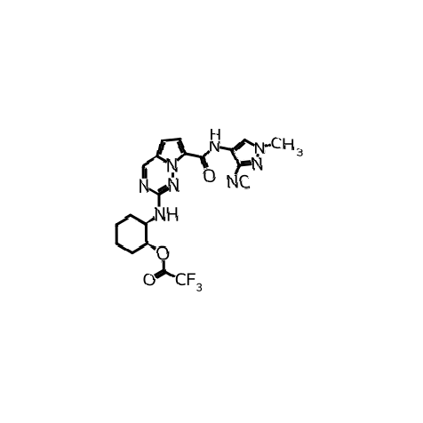 Cn1cc(NC(=O)c2ccc3cnc(N[C@@H]4CCCC[C@@H]4OC(=O)C(F)(F)F)nn23)c(C#N)n1